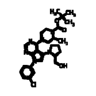 CC1CN(c2ncnc3c2c(N2CCCC2CO)cn3-c2cccc(Cl)c2)CCN1C(=O)OC(C)(C)C